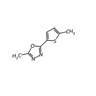 Cc1nnc(-c2ccc(C)s2)o1